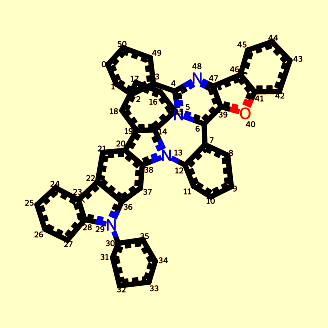 c1ccc(-c2nc(-c3ccccc3-n3c4ccccc4c4cc5c6ccccc6n(-c6ccccc6)c5cc43)c3oc4ccccc4c3n2)cc1